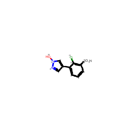 O=S(=O)(O)c1cccc(-c2cnn(O)c2)c1Cl